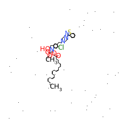 CCC/C=C\C/C=C\C/C=C\C/C=C\C/C=C\CCCC(=O)COC(C(=O)OCC)N1c2cc(Cl)c(CCN3CCN(c4nsc5ccccc45)CC3)cc2CC1O